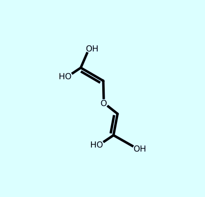 OC(O)=COC=C(O)O